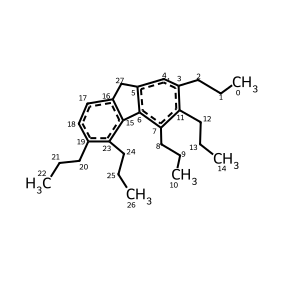 CCCc1[c]c2c(c(CCC)c1CCC)-c1c(ccc(CCC)c1CCC)C2